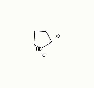 B1CCCC1.[O].[O]